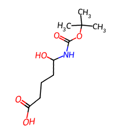 CC(C)(C)OC(=O)NC(O)CCCC(=O)O